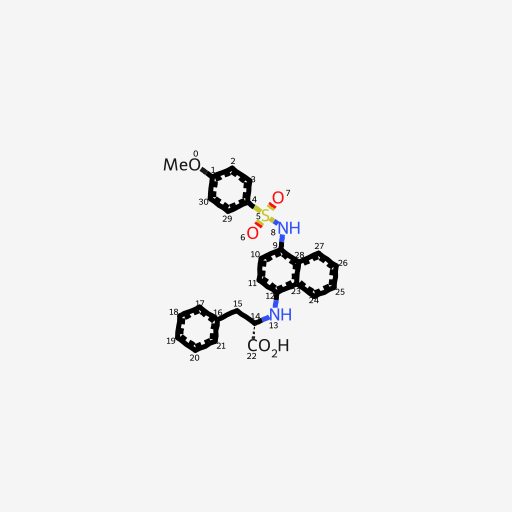 COc1ccc(S(=O)(=O)Nc2ccc(N[C@@H](Cc3ccccc3)C(=O)O)c3ccccc23)cc1